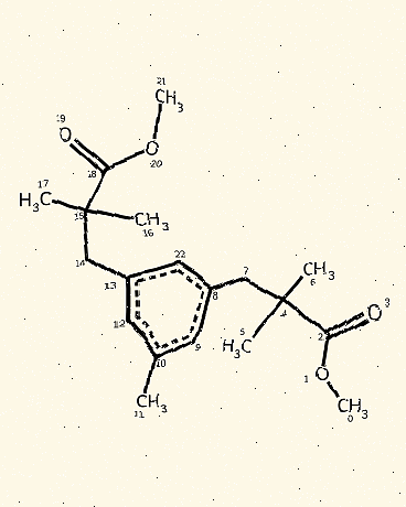 COC(=O)C(C)(C)Cc1cc(C)cc(CC(C)(C)C(=O)OC)c1